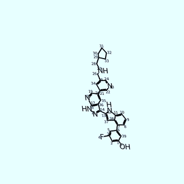 Oc1cc(F)cc(-c2cccc3[nH]c(-c4n[nH]c5ncc(-c6cncc(CNCC7CCCC7)c6)cc45)cc23)c1